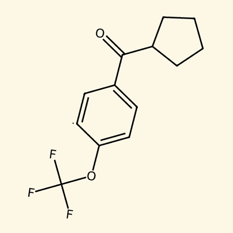 O=C(c1c[c]c(OC(F)(F)F)cc1)C1CCCC1